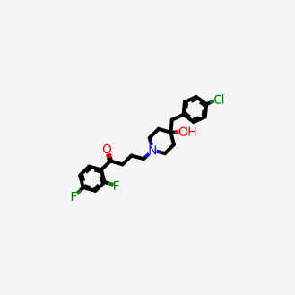 O=C(CCCN1CCC(O)(Cc2ccc(Cl)cc2)CC1)c1ccc(F)cc1F